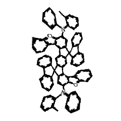 Cc1ccccc1N(c1ccccc1)c1cc2c(c3c1oc1ccccc13)-c1cc3c(cc1C21c2ccccc2-c2ccccc21)-c1c(cc(N(c2ccccc2)c2ccccc2C)c2oc4ccccc4c12)C31c2ccccc2-c2ccccc21